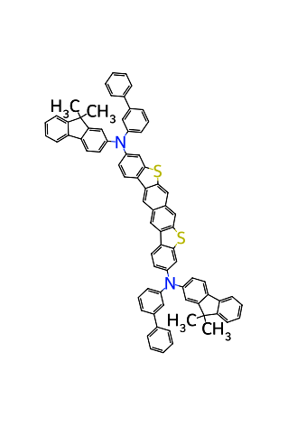 CC1(C)c2ccccc2-c2ccc(N(c3cccc(-c4ccccc4)c3)c3ccc4c(c3)sc3cc5cc6sc7cc(N(c8cccc(-c9ccccc9)c8)c8ccc9c(c8)C(C)(C)c8ccccc8-9)ccc7c6cc5cc34)cc21